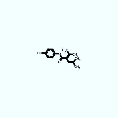 CC(C)=CC(C(=O)Oc1ccc(O)cc1)=C(C)C